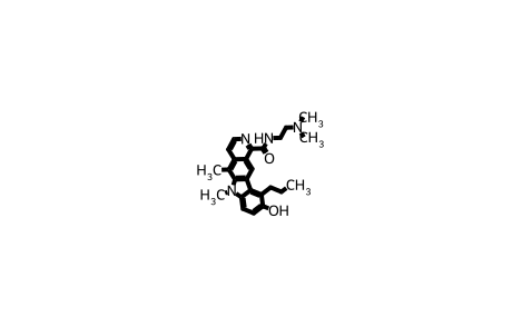 CCCc1c(O)ccc2c1c1cc3c(C(=O)NCCN(C)C)nccc3c(C)c1n2C